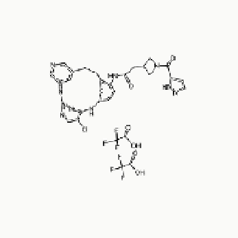 O=C(CC1CN(C(=O)c2ccn[nH]2)C1)Nc1ccc2cc1CCc1cncc(c1)Nc1ncc(Cl)c(n1)N2.O=C(O)C(F)(F)F.O=C(O)C(F)(F)F